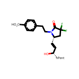 CCCCC[C@H](O)C=C[C@H]1CC(F)(F)C(=O)N1CCc1ccc(C(=O)O)cc1